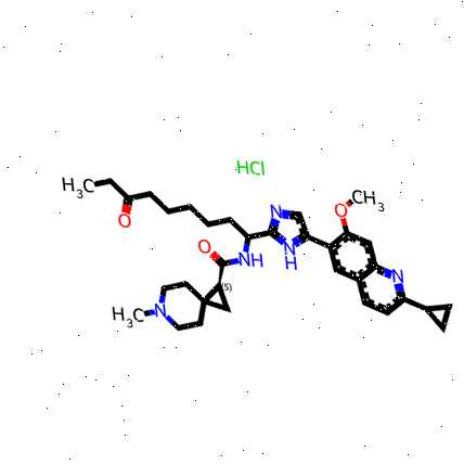 CCC(=O)CCCCCC(NC(=O)[C@H]1CC12CCN(C)CC2)c1ncc(-c2cc3ccc(C4CC4)nc3cc2OC)[nH]1.Cl